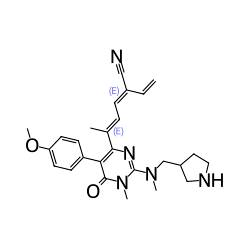 C=C/C(C#N)=C\C=C(/C)c1nc(N(C)CC2CCNC2)n(C)c(=O)c1-c1ccc(OC)cc1